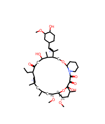 CCC1/C=C(\C)CC(C)C[C@@H](OC)[C@@H]2OC(O)(C(=O)C(=O)N3CCCCC3OCC(/C(C)=C/C3CCC(O)C(OC)C3)C(C)C(O)CC1=O)C(C)C[C@@H]2OC